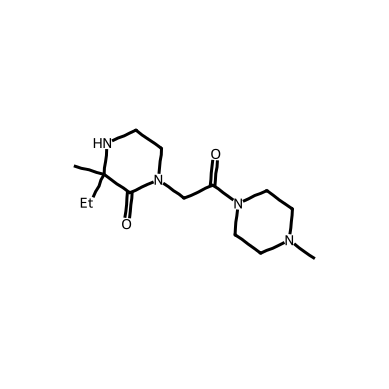 CCC1(C)NCCN(CC(=O)N2CCN(C)CC2)C1=O